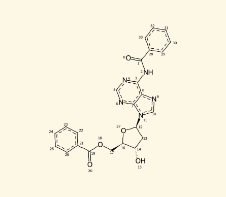 O=C(Nc1ncnc2c1ncn2[C@H]1C[C@H](O)[C@@H](COC(=O)c2ccccc2)O1)c1ccccc1